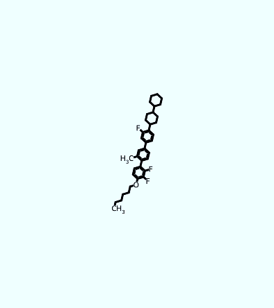 CCCCCCOc1ccc(-c2ccc(-c3ccc(C4CCC(C5CCCCC5)CC4)c(F)c3)cc2C)c(F)c1F